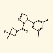 O=C(N1CC(F)(F)C1)N1N=CCC1c1cc(F)cc(F)c1